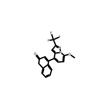 COc1ccc(C2=CC(=O)Cc3ccccc32)c2cc(C(F)(F)F)nn12